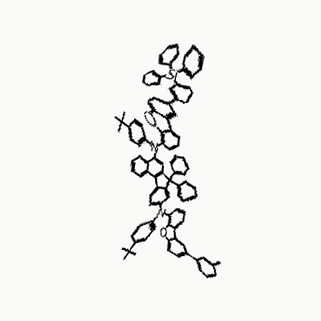 Cc1cccc(-c2ccc3oc4c(N(c5ccc(C(C)(C)C)cc5)c5ccc6c(c5)C(c5ccccc5)(c5ccccc5)c5cc(N(c7ccc(C(C)(C)C)cc7)c7cccc8c7oc7ccc(-c9cccc([Si](c%10ccccc%10)(c%10ccccc%10)c%10ccccc%10)c9)cc78)c7ccccc7c5-6)cccc4c3c2)c1